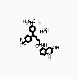 CN(C)c1ccc(/C(=C/C=C/C(=O)Nc2cccc3c2CC(O)CN3)c2ccc(C(F)(F)F)cc2)cc1.Cl.Cl